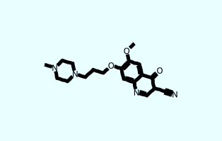 COc1cc2c(cc1OCCCN1CCN(C)CC1)N=CC(C#N)C2=O